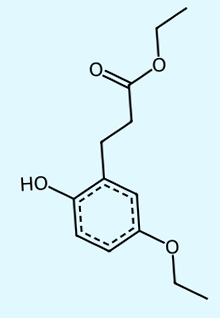 CCOC(=O)CCc1cc(OCC)ccc1O